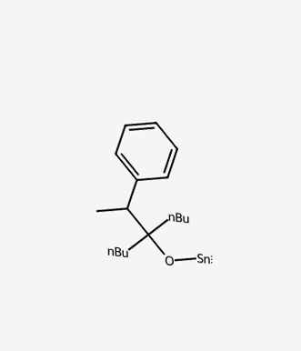 CCCCC(CCCC)([O][Sn])C(C)c1ccccc1